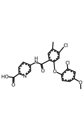 COc1ccc(Oc2cc(Cl)c(C)cc2C(=O)Nc2ccc(C(=O)O)nc2)c(Cl)c1